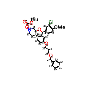 COc1ccc(COC2CN(OC(=O)OC(C)(C)C)CCC2c2ccc(OCCCOCc3ccccc3)cc2)cc1Cl